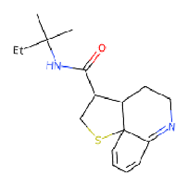 CCC(C)(C)NC(=O)C1CSC23C=CC=CC2=NCCC13